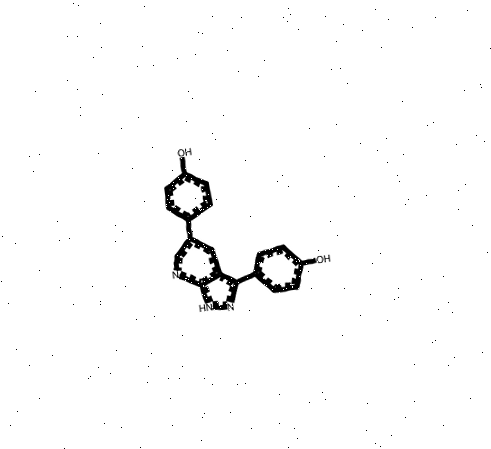 Oc1ccc(-c2cnc3[nH]nc(-c4ccc(O)cc4)c3c2)cc1